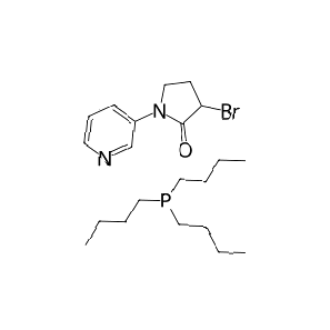 CCCCP(CCCC)CCCC.O=C1C(Br)CCN1c1cccnc1